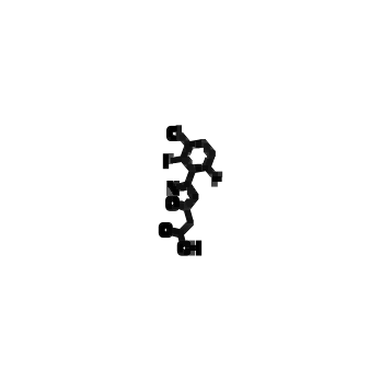 O=C(O)Cc1cc(-c2c(F)ccc(Cl)c2F)no1